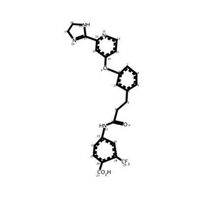 O=C(CCc1cccc(Oc2ccnc(C3=NCCN3)c2)c1)Nc1ccc(C(=O)O)c(C(F)(F)F)c1